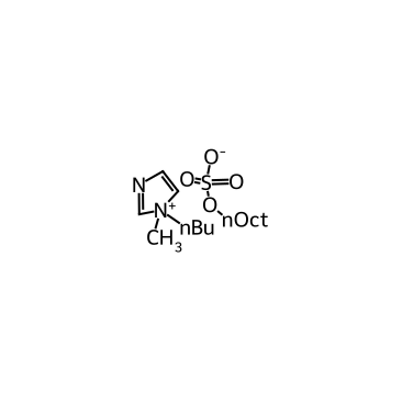 CCCCCCCCOS(=O)(=O)[O-].CCCC[N+]1(C)C=CN=C1